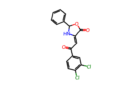 O=C1OC(c2ccccc2)N/C1=C\C(=O)c1ccc(Cl)c(Cl)c1